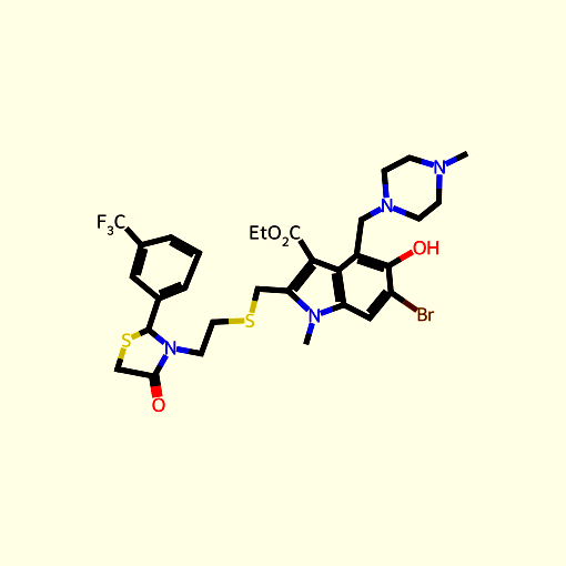 CCOC(=O)c1c(CSCCN2C(=O)CSC2c2cccc(C(F)(F)F)c2)n(C)c2cc(Br)c(O)c(CN3CCN(C)CC3)c12